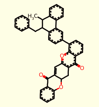 CC1c2ccccc2-c2cc(-c3cccc4c(=O)c5c(oc34)C=C3C(=O)c4ccccc4OC3C5)ccc2C1Cc1ccccc1